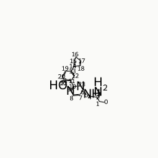 CC[C@@H](N)CNc1ccnc(-c2cc(C3=CCC=C3)ccc2O)n1